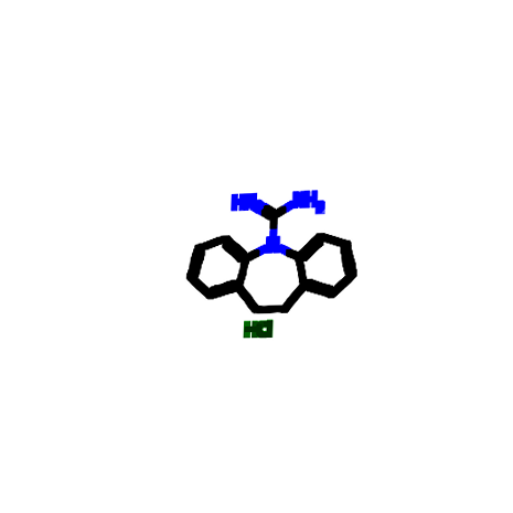 Cl.N=C(N)N1c2ccccc2CCc2ccccc21